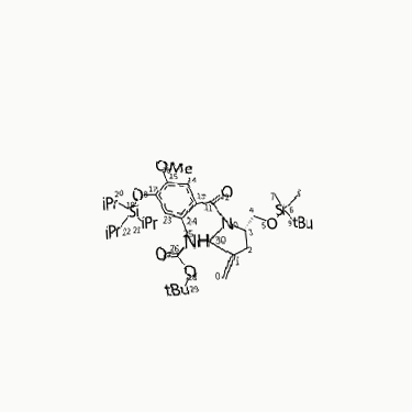 C=C1C[C@@H](CO[Si](C)(C)C(C)(C)C)N(C(=O)c2cc(OC)c(O[Si](C(C)C)(C(C)C)C(C)C)cc2NC(=O)OC(C)(C)C)C1